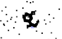 F/C=C(/F)c1cn[c]c(Cl)c1